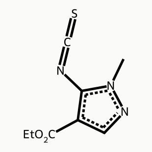 CCOC(=O)c1cnn(C)c1N=C=S